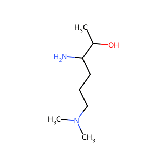 CC(O)C(N)CCCN(C)C